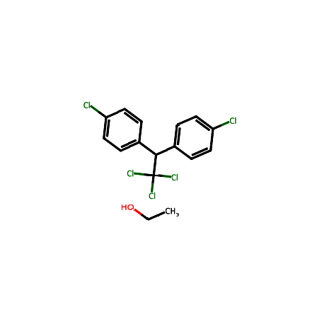 CCO.Clc1ccc(C(c2ccc(Cl)cc2)C(Cl)(Cl)Cl)cc1